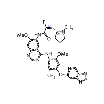 COc1cc2ncnc(Nc3cc(C)c(Oc4cc5ncnn5cn4)cc3OC)c2cc1NC(=O)/C(F)=C\[C@H]1CCCN1C